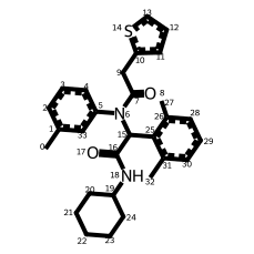 Cc1cccc(N(C(=O)Cc2cccs2)C(C(=O)NC2CCCCC2)c2c(C)cccc2C)c1